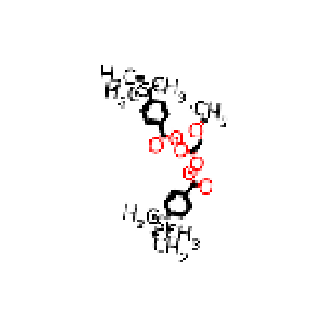 [CH2]COC[C](OOC(=O)c1ccc([Si](C)(C)C=C)cc1)OOC(=O)c1ccc([Si](C)(C)C=C)cc1